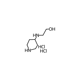 Cl.Cl.OCCNC1CCNCC1